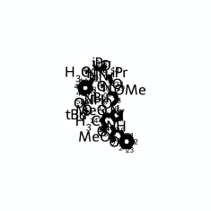 CC[C@H](C)[C@@H]([C@@H](CC(=O)N1CCCC1[C@H](OC)[C@@H](C)C(=O)N[C@@H](Cc1ccccc1)C(=O)OC)OC)N(C)C(=O)[C@@H](NC(=O)[C@H](C(C)C)N(C)Cc1cccc(NC(=O)OC(C)(C)C)c1)C(C)C